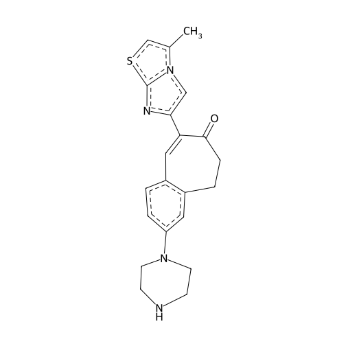 Cc1csc2nc(C3=Cc4ccc(N5CCNCC5)cc4CCC3=O)cn12